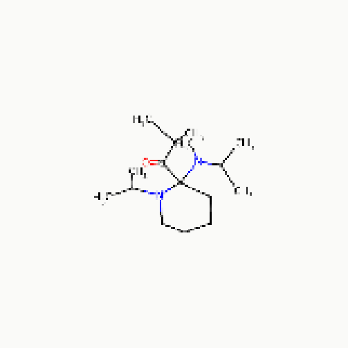 CC(C)C(=O)C1(N(C)C(C)C)CCCCN1C(C)C